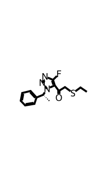 CCSCC(=O)c1c(F)nnn1[C@H](C)c1ccccc1